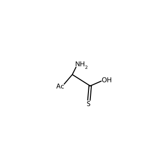 CC(=O)C(N)C(O)=S